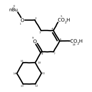 CCCCOCCC(C(=O)O)=C(CC(=O)C1CCCCC1)C(=O)O